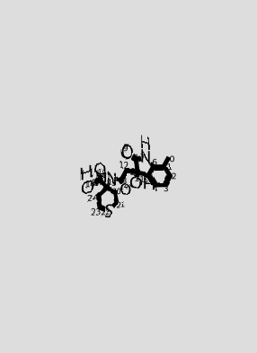 Cc1cccc2c1NC(=O)C2(O)CC(=O)NC1(C(=O)O)CCSCC1